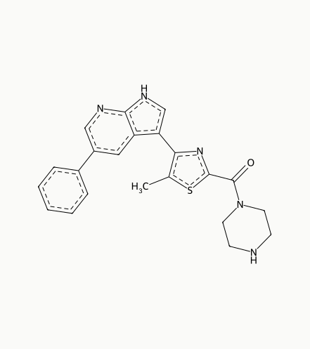 Cc1sc(C(=O)N2CCNCC2)nc1-c1c[nH]c2ncc(-c3ccccc3)cc12